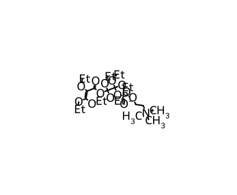 CCOC(OCC)=C(OCC)C(=O)OC(OCC)(OCC)C(OCC)(OCC)OP(=O)([O-])OCC[N+](C)(C)C